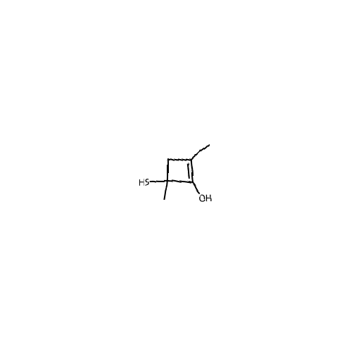 CC1=C(O)C(C)(S)C1